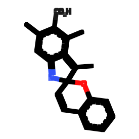 CC1=c2c(C)c(C(=O)O)c(C)cc2=NC12C=Cc1ccccc1O2